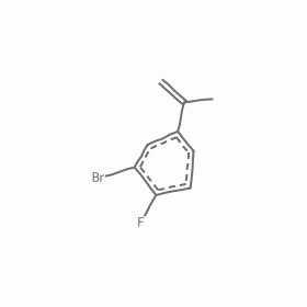 C=C(C)c1ccc(F)c(Br)c1